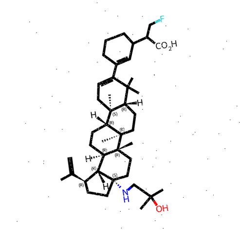 C=C(C)[C@@H]1CC[C@]2(NCC(C)(C)O)CC[C@]3(C)[C@H](CC[C@@H]4[C@@]5(C)CC=C(C6=CC(C(CF)C(=O)O)CCC6)C(C)(C)[C@@H]5CC[C@]43C)[C@@H]12